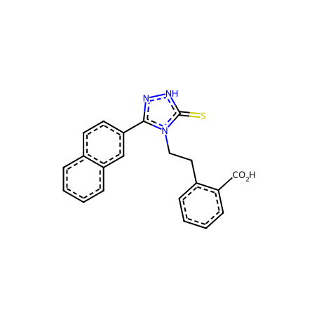 O=C(O)c1ccccc1CCn1c(-c2ccc3ccccc3c2)n[nH]c1=S